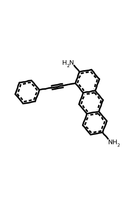 Nc1ccc2cc3c(C#Cc4ccccc4)c(N)ccc3cc2c1